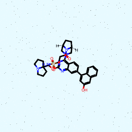 NS(=O)(=O)CCC(=O)N1[C@@H]2CC[C@H]1CN(c1nc(OCC34CCCN3CCC4)nc3cc(-c4cc(O)cc5ccccc45)ccc13)C2